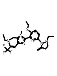 C=C1CCN(CC)N1c1ccc(SCC)c(-c2nc3c(n2C)CN(CC)C(C(F)(F)F)=C3)n1